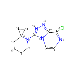 Clc1nccn2c(N3CCCCC34CC4)nnc12